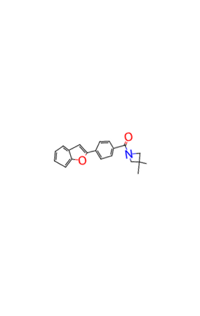 CC1(C)CN(C(=O)c2ccc(-c3cc4ccccc4o3)cc2)C1